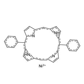 C1=Cc2nc1cc1ccc([nH]1)c(-c1ccccc1)c1nc(cc3ccc([nH]3)c2-c2ccccc2)C=C1.[Ni+2]